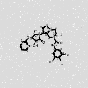 C[C@@H]1[C@@H](Oc2ncccn2)[C@H](O)C(=O)N1c1cnn2c1CN(C(O)Nc1cc(F)c(F)c(F)c1)[C@@H](C)C2